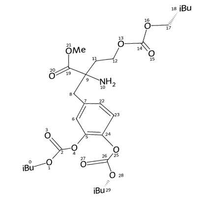 CCC(C)OC(=O)Oc1cc(CC(N)(CCOC(=O)OC[C@@H](C)CC)C(=O)OC)ccc1OC(=O)O[C@@H](C)CC